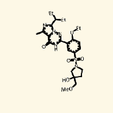 CCOc1ccc(S(=O)(=O)N2CCC(O)(COC)C2)cc1-c1nn2c(C(CC)CC)nc(C)c2c(=O)[nH]1